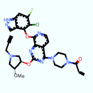 C#CCN1C[C@@H](OC)[C@H](Oc2nc(N3CCN(C(=O)C=C)CC3)c3ccnc(Oc4c(Cl)c(F)cc5[nH]ncc45)c3n2)C1